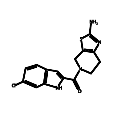 Nc1nc2c(s1)CN(C(=O)c1cc3ccc(Cl)cc3[nH]1)CC2